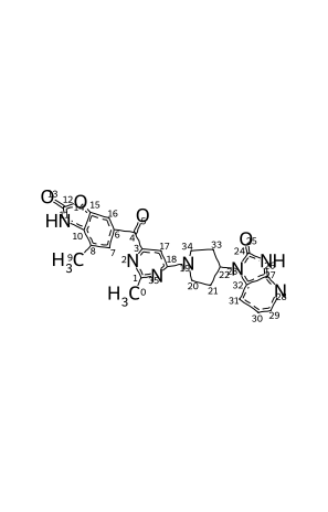 Cc1nc(C(=O)c2cc(C)c3[nH]c(=O)oc3c2)cc(N2CCC(n3c(=O)[nH]c4ncccc43)CC2)n1